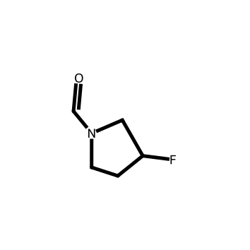 O=CN1CCC(F)C1